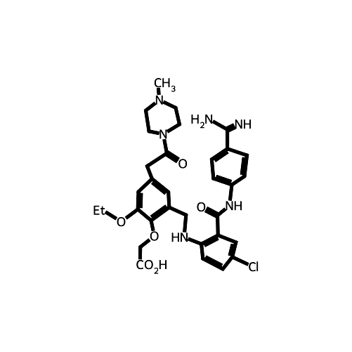 CCOc1cc(CC(=O)N2CCN(C)CC2)cc(CNc2ccc(Cl)cc2C(=O)Nc2ccc(C(=N)N)cc2)c1OCC(=O)O